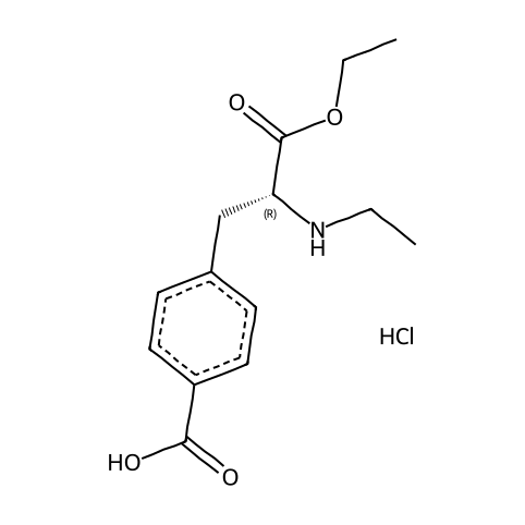 CCN[C@H](Cc1ccc(C(=O)O)cc1)C(=O)OCC.Cl